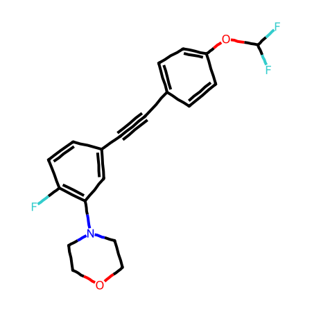 Fc1ccc(C#Cc2ccc(OC(F)F)cc2)cc1N1CCOCC1